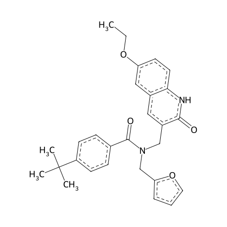 CCOc1ccc2[nH]c(=O)c(CN(Cc3ccco3)C(=O)c3ccc(C(C)(C)C)cc3)cc2c1